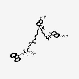 C=C(/C=C/C=C/C=C1/N(CCCCCC(=O)NCCCC[C@@H](NC(=O)OCC2c3ccccc3-c3ccccc32)C(=O)O)c2ccc3cc(S(=O)(=O)O)ccc3c2C1(C)C)C(C)(C)c1c(C)ccc2cc(S(=O)(=O)O)ccc12